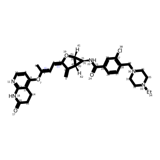 C=C1/C(=C\C=C(/C)Oc2ccnc3c2CCC(=O)N3)O[C@@H]2[C@@H](NC(=O)c3ccc(CN4CCN(CC)CC4)c(Cl)c3)[C@H]12